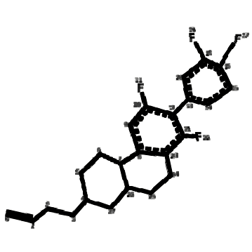 C=CCCC1CCC2c3cc(F)c(-c4ccc(F)c(F)c4)c(F)c3CCC2C1